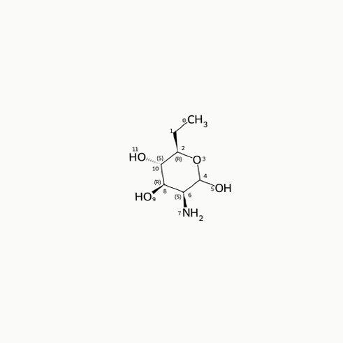 CC[C@H]1OC(O)[C@@H](N)[C@@H](O)[C@@H]1O